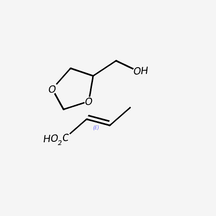 C/C=C/C(=O)O.OCC1COCO1